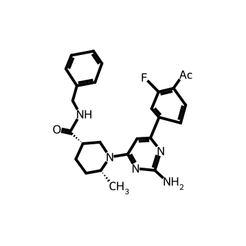 CC(=O)c1ccc(-c2cc(N3C[C@@H](C(=O)NCc4ccccc4)CC[C@H]3C)nc(N)n2)cc1F